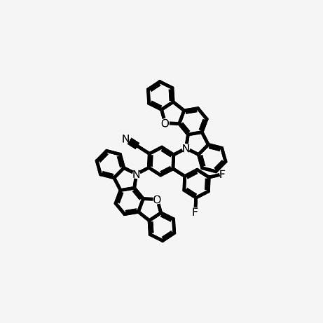 N#Cc1cc(-n2c3ccccc3c3ccc4c5ccccc5oc4c32)c(-c2cc(F)cc(F)c2)cc1-n1c2ccccc2c2ccc3c4ccccc4oc3c21